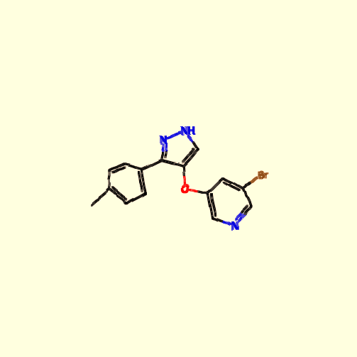 Cc1ccc(-c2n[nH]cc2Oc2cncc(Br)c2)cc1